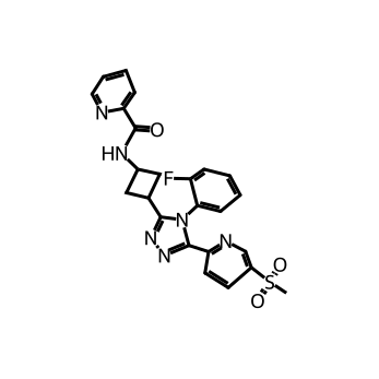 CS(=O)(=O)c1ccc(-c2nnc(C3CC(NC(=O)c4ccccn4)C3)n2-c2ccccc2F)nc1